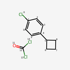 Clc1ccc(C2CCC2)cc1.O=C(Cl)Cl